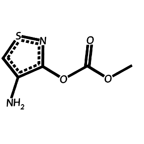 COC(=O)Oc1nscc1N